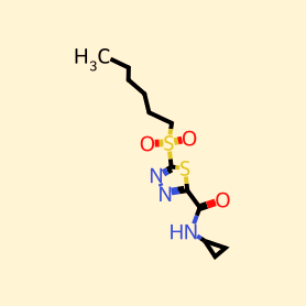 CCCCCCS(=O)(=O)c1nnc(C(=O)NC2CC2)s1